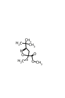 COC(=O)C1(SC)CC(C(C)(C)C)=NO1